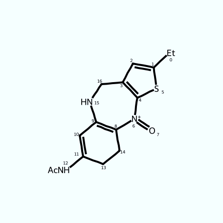 CCc1cc2c(s1)[N+](=O)C1=C(C=C(NC(C)=O)CC1)NC2